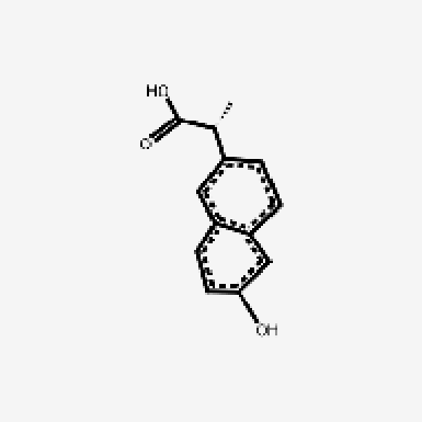 C[C@@H](C(=O)O)c1ccc2cc(O)ccc2c1